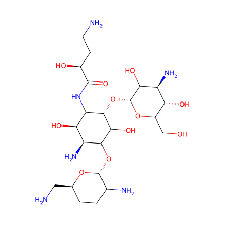 NCC[C@H](O)C(=O)NC1[C@H](O[C@H]2OC(CO)[C@@H](O)[C@H](N)C2O)C(O)C(O[C@H]2O[C@H](CN)CCC2N)[C@@H](N)[C@H]1O